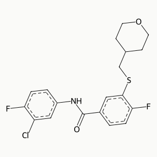 O=C(Nc1ccc(F)c(Cl)c1)c1ccc(F)c(SCC2CCOCC2)c1